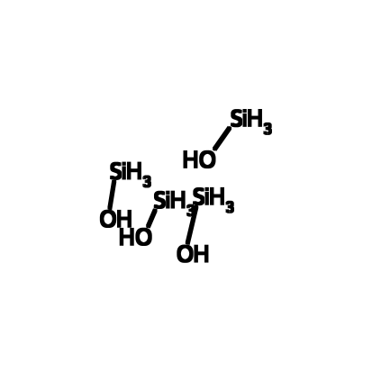 O[SiH3].O[SiH3].O[SiH3].O[SiH3]